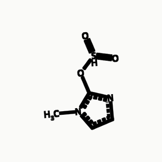 Cn1ccnc1O[SH](=O)=O